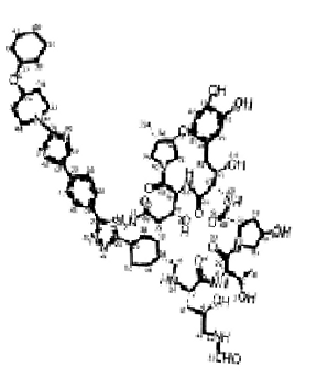 C[C@@H](O)[C@H](NC(=O)[C@H](C[C@@H](O)CNC=O)NC[C@H]1CC[C@H](c2nnc(-c3ccc(-c4cnc(N5CCC(OC6CCCCC6)CC5)nc4)cc3)s2)CC1)C(=O)N1C[C@H](O)C[C@H]1C(=O)N[C@H](C(=O)N[C@H](C(=O)N1C[C@@H](O)[C@@H](C)C1)[C@H](O)CC(N)=O)[C@H](O)Cc1ccc(O)c(O)c1